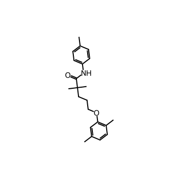 Cc1ccc(NC(=O)C(C)(C)CCCOc2cc(C)ccc2C)cc1